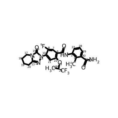 Cc1c(NC(=O)c2cc(F)c(-n3nc4n(c3=O)CCCC4)cc2O[C@@H](C)C(F)(F)F)cccc1C(N)=O